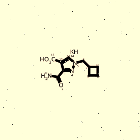 NC(=O)c1nn(CC2CCC2)cc1C(=O)O.[KH]